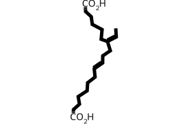 CC=C(CCC=CCCCCCCC(=O)O)CCCCCC(=O)O